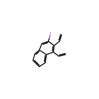 C=Cc1c(I)cc2ccccc2c1C=C